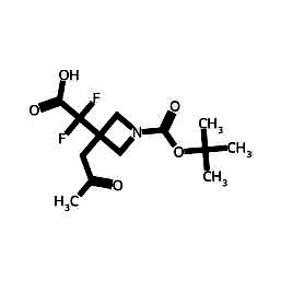 CC(=O)CC1(C(F)(F)C(=O)O)CN(C(=O)OC(C)(C)C)C1